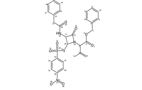 C=C(C)C(C(=O)OCc1ccccc1)N1C(=O)C(NC(=O)Cc2ccccc2)C1SS(=O)(=O)c1ccc([N+](=O)[O-])cc1